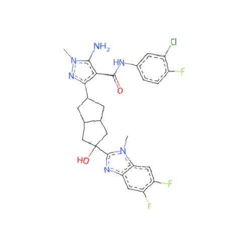 Cn1nc(C2CC3CC(O)(c4nc5cc(F)c(F)cc5n4C)CC3C2)c(C(=O)Nc2ccc(F)c(Cl)c2)c1N